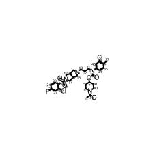 CC(=O)N1CCC(OC(=O)N(CCCN2CC3CN(S(=O)(=O)c4ccc(F)cc4Cl)CC3C2)c2ccc(C)c(Cl)c2)CC1